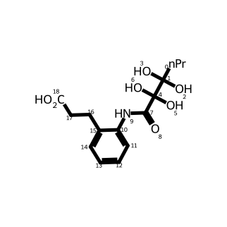 CCCC(O)(O)C(O)(O)C(=O)Nc1ccccc1CCC(=O)O